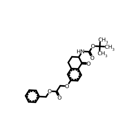 CC(C)(C)OC(=O)NC1CCc2cc(OCC(=O)OCc3ccccc3)ccc2C1=O